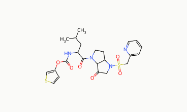 CC(C)CC(NC(=O)Oc1ccsc1)C(=O)N1CCC2C1C(=O)CN2S(=O)(=O)Cc1ccccn1